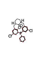 Clc1cc2c(c(P(c3ccccc3)c3ccccc3)c1)O[C@]13Oc4c(cc(Cl)cc4P(c4ccccc4)C4C=CC=CC4)C[C@H]1CCC[C@@H]3C2